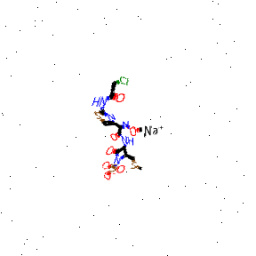 CON=C(C(=O)NC1C(=O)N(S(=O)(=O)[O-])C1CSC)c1csc(NC(=O)CCl)n1.[Na+]